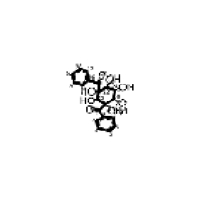 O=C(c1ccccc1)[C@]1(O)[C@@H](O)[C@@](O)(C(=O)c2ccccc2)[C@@H](O)[C@H](O)[C@H]1O